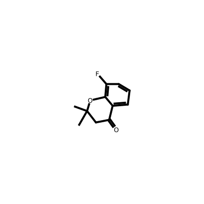 CC1(C)CC(=O)c2cccc(F)c2O1